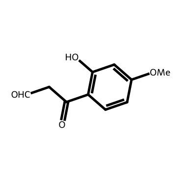 COc1ccc(C(=O)CC=O)c(O)c1